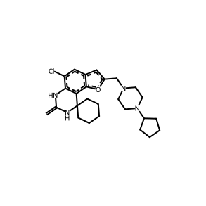 C=C1Nc2c(Cl)cc3cc(CN4CCN(C5CCCC5)CC4)oc3c2C2(CCCCC2)N1